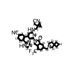 N#CCC1(CNc2cc(-c3cc(C#N)ccc3-c3nnc[nH]3)cc(N3Cc4c(cc(CN5CCC6(CCC6)C5)cc4C(F)(F)F)C3=O)n2)CC1